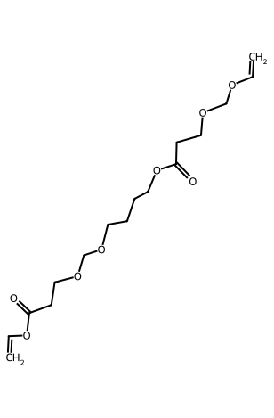 C=COCOCCC(=O)OCCCCOCOCCC(=O)OC=C